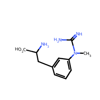 CN(C(=N)N)c1cccc(CC(N)C(=O)O)c1